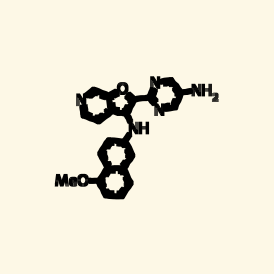 COc1cccc2cc(Nc3c(-c4ncc(N)cn4)oc4cnccc34)ccc12